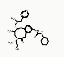 CC1CN([C@@H](C)CO)C(=O)Cc2cc(NC(=O)NC3CCCCC3)ccc2O[C@H]1CN(C)Cc1ccncn1